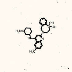 Cc1ccc2nc(N3CCS(O)(O)c4ccccc4C3)cc(NC3CCCC(N)C3)c2c1